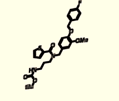 COc1cc(CN(CCCNC(=O)OC(C)(C)C)C(=O)c2cccs2)ccc1OCc1ccc(F)cc1